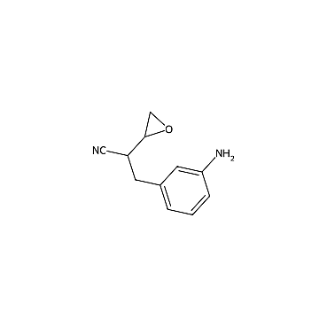 N#CC(Cc1cccc(N)c1)C1CO1